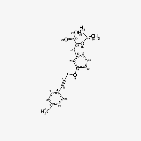 Cc1ccc(C#CCOc2cccc(CC(OC(C)C)C(=O)O)c2)cc1